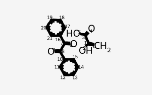 C=C(O)C(=O)O.O=C(C(=O)c1ccccc1)c1ccccc1